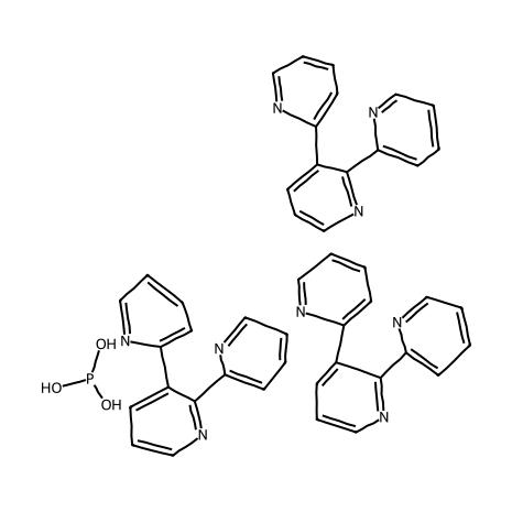 OP(O)O.c1ccc(-c2cccnc2-c2ccccn2)nc1.c1ccc(-c2cccnc2-c2ccccn2)nc1.c1ccc(-c2cccnc2-c2ccccn2)nc1